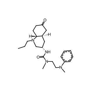 CCCN1C[C@@H](NC(=O)N(C)CCN(C)c2ccccc2)C[C@@H]2CC(=O)CC[C@H]21